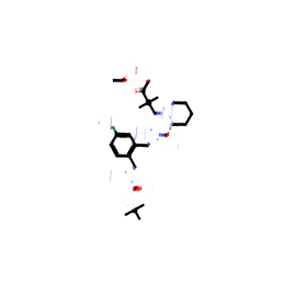 CC(=O)O[C@@H](C=O)C(C)(C)CN1CCCC[C@H]1C(=O)NCc1cc(Cl)ccc1CNC(=O)OC(C)(C)C